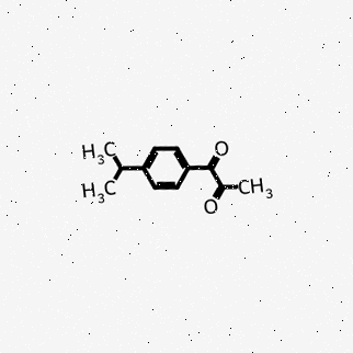 CC(=O)C(=O)c1ccc(C(C)C)cc1